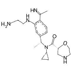 CC(=N)c1ccc([C@@H](C)N(C(=O)[C@H]2CNCCO2)C2CC2)cc1NCCN